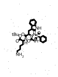 CC(C)C(=O)N(NS(=O)(=O)c1ccccc1)C(Cc1c[nH]c2ccccc12)C(=O)NC(CCCCN)C(=O)OC(C)(C)C